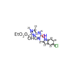 CCOC(=O)Cc1nc(N(C)C(=O)N(C=O)Cc2cc3cc(Cl)ccc3[nH]2)c(C)n1C